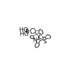 OB(O)c1ccc2c(c1)C1(c3ccccc3-2)c2ccccc2-n2c3ccccc3c3c4sc5ccccc5c4cc1c32